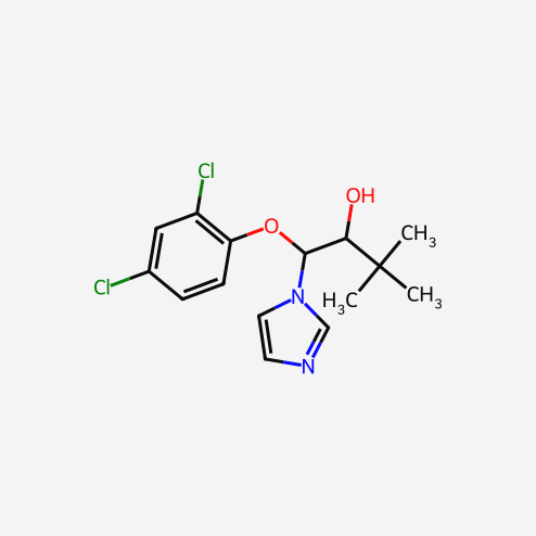 CC(C)(C)C(O)C(Oc1ccc(Cl)cc1Cl)n1ccnc1